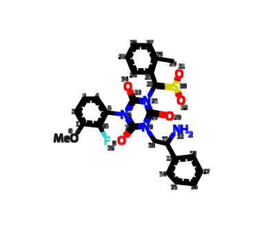 COc1cccc(-n2c(=O)n(CC(N)c3ccccc3)c(=O)n(C(c3ccccc3C)=S(=O)=O)c2=O)c1F